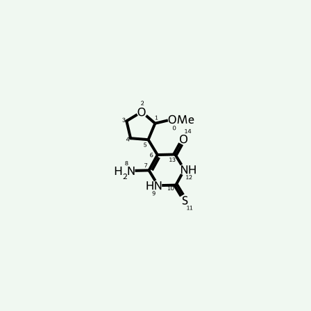 COC1OCCC1c1c(N)[nH]c(=S)[nH]c1=O